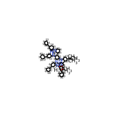 CC(C)(C)c1ccc2c(c1)c1cc(C(C)(C)C)ccc1n2-c1cc(-c2ccccc2)c(-n2c3ccc(-c4ccccc4)cc3n3c4cc(-c5ccccc5)ccc4nc23)cc1-n1c2ccc(-c3ccccc3)cc2n2c3cc(-c4ccccc4)ccc3nc12